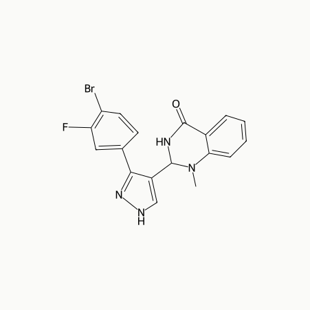 CN1c2ccccc2C(=O)NC1c1c[nH]nc1-c1ccc(Br)c(F)c1